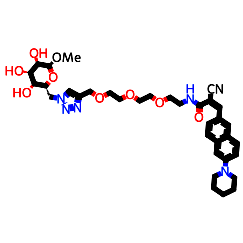 CO[C@H]1O[C@H](Cn2cc(COCCOCCOCCNC(=O)/C(C#N)=C\c3ccc4cc(N5CCCCC5)ccc4c3)nn2)[C@@H](O)[C@H](O)[C@H]1O